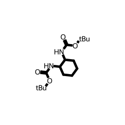 CC(C)(C)OC(=O)NC1CCCCC1NC(=O)OC(C)(C)C